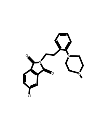 CN1CCN(c2ccccc2CCN2C(=O)c3ccc(Cl)cc3C2=O)CC1